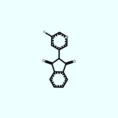 O=C1c2ccccc2C(=O)C1c1cncc(F)c1